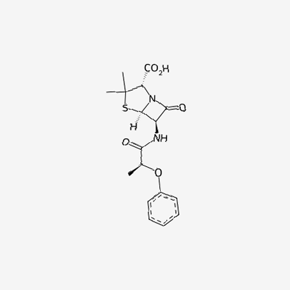 C[C@H](Oc1ccccc1)C(=O)N[C@@H]1C(=O)N2[C@@H]1SC(C)(C)[C@@H]2C(=O)O